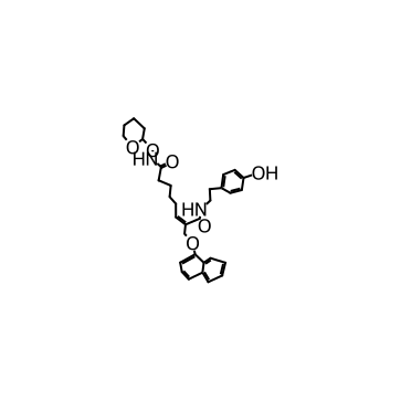 O=C(CCCCC=C(COc1cccc2ccccc12)C(=O)NCCc1ccc(O)cc1)NOC1CCCCO1